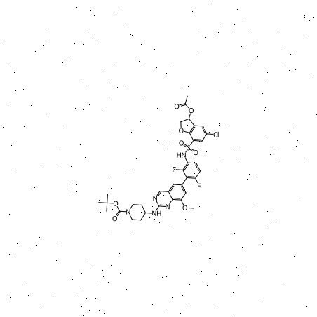 COc1cc(-c2c(F)ccc(NS(=O)(=O)c3cc(Cl)cc4c3OCC4OC(C)=O)c2F)cc2cnc(NC3CCN(C(=O)OC(C)(C)C)CC3)nc12